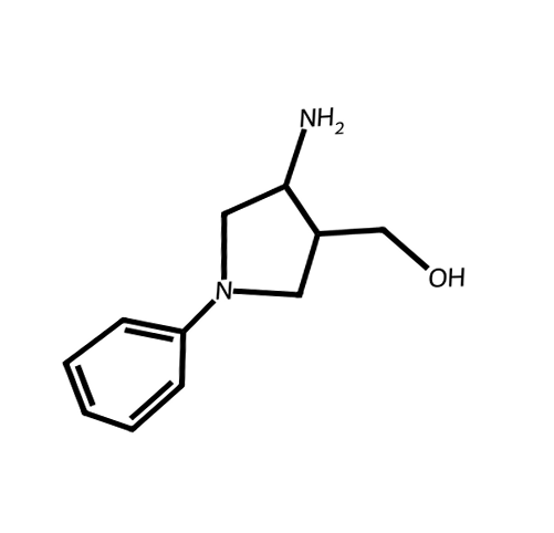 NC1CN(c2ccccc2)CC1CO